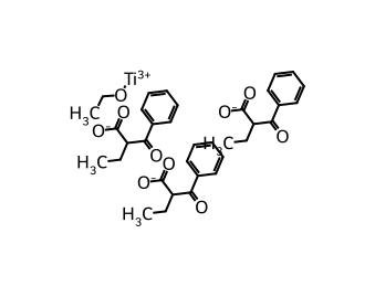 CCC(C(=O)[O-])C(=O)c1ccccc1.CCC(C(=O)[O-])C(=O)c1ccccc1.CCC(C(=O)[O-])C(=O)c1ccccc1.CC[O][Ti+3]